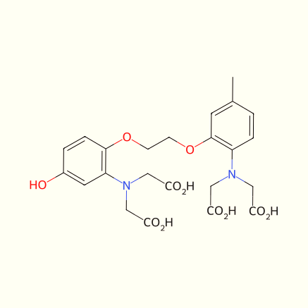 Cc1ccc(N(CC(=O)O)CC(=O)O)c(OCCOc2ccc(O)cc2N(CC(=O)O)CC(=O)O)c1